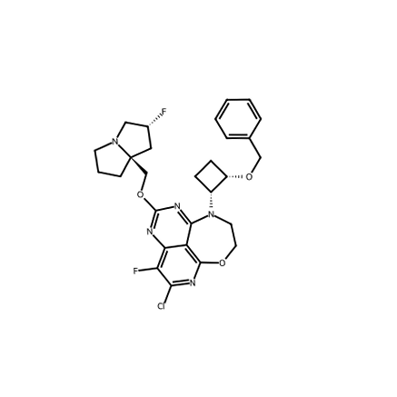 Fc1c(Cl)nc2c3c(nc(OC[C@@]45CCCN4C[C@H](F)C5)nc13)N([C@@H]1CC[C@@H]1OCc1ccccc1)CCO2